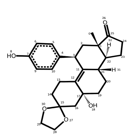 C[C@]12C[C@H](c3ccc(O)cc3)C3=C4CCC5(C[C@]4(O)CC[C@H]3[C@@H]1CCC2=O)OCCO5